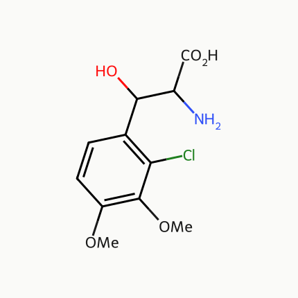 COc1ccc(C(O)C(N)C(=O)O)c(Cl)c1OC